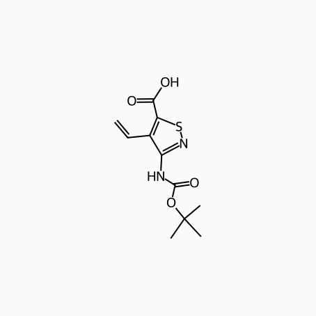 C=Cc1c(NC(=O)OC(C)(C)C)nsc1C(=O)O